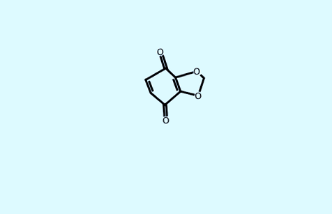 O=C1C=CC(=O)C2=C1OCO2